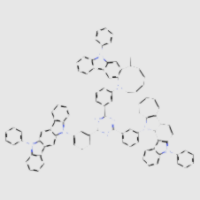 CC1/C=C\C=C/CN(c2cccc(C3=NC(C4=CC(n5c6ccccc6c6cc7c(cc65)c5ccccc5n7-c5ccccc5)=CCC4)NC(c4cccc(N5C6=C(C=CC=CC6)C6C=Cc7c(c8ccccc8n7-c7ccccc7)C65)c4)=N3)c2)c2cc3c4ccccc4n(-c4ccccc4)c3cc21